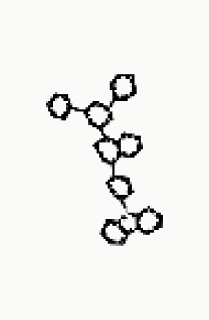 c1ccc(-c2cc(-c3ccccc3)cc(-c3ccc(-c4ccc(-n5c6ccccc6c6ccccc65)cc4)c4ccccc34)c2)cc1